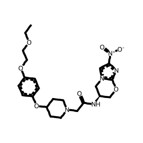 CCOCCOc1ccc(OC2CCN(CC(=O)N[C@@H]3COc4nc([N+](=O)[O-])cn4C3)CC2)cc1